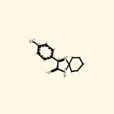 O=C1NC2(CCCCC2)N=C1c1ccc(Cl)cc1